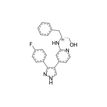 OC[C@@H](Cc1ccccc1)Nc1cc(-c2c[nH]nc2-c2ccc(F)cc2)ccn1